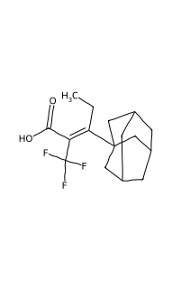 CCC(=C(C(=O)O)C(F)(F)F)C12CC3CC(CC(C3)C1)C2